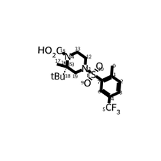 Cc1ccc(C(F)(F)F)cc1S(=O)(=O)N1CCN(C(=O)O)[C@@](C)(C(C)(C)C)C1